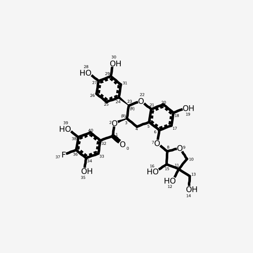 O=C(O[C@@H]1Cc2c(OC3OCC(O)(CO)C3O)cc(O)cc2O[C@@H]1c1ccc(O)c(O)c1)c1cc(O)c(F)c(O)c1